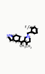 C=C1CCN(Cc2ccccc2C(F)(F)F)C/C1=C(/C)C1=Cc2cc[nH]c2CC1